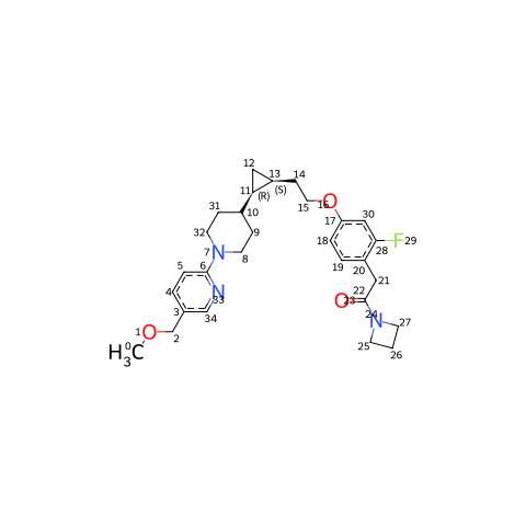 COCc1ccc(N2CCC([C@H]3C[C@H]3CCOc3ccc(CC(=O)N4CCC4)c(F)c3)CC2)nc1